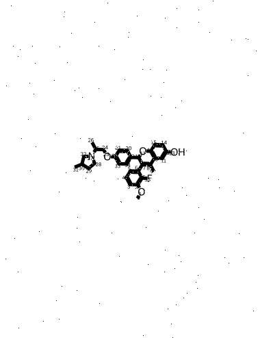 COc1cccc(C2=C(C)c3cc(O)ccc3OC2c2ccc(OCC(C)N3CCC(C)C3)cc2)c1F